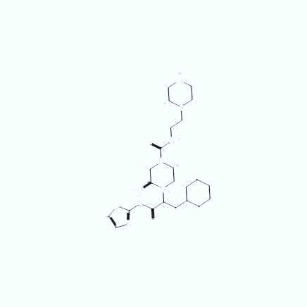 O=C(Nc1nccs1)C(CC1CCCCC1)N1CCN(C(=S)NCCN2CCOCC2)CC1=O